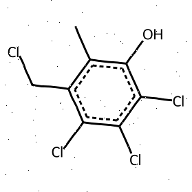 Cc1c(O)c(Cl)c(Cl)c(Cl)c1CCl